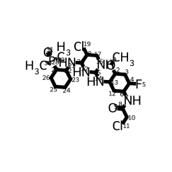 COC1CC(F)C(NC(=O)CCl)CC1NC1NCC(Cl)C(NC2CCCCC2P(C)(C)=O)N1